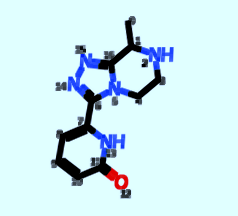 CC1NCCn2c(-c3cccc(=O)[nH]3)nnc21